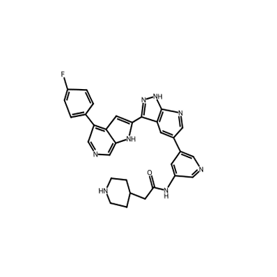 O=C(CC1CCNCC1)Nc1cncc(-c2cnc3[nH]nc(-c4cc5c(-c6ccc(F)cc6)cncc5[nH]4)c3c2)c1